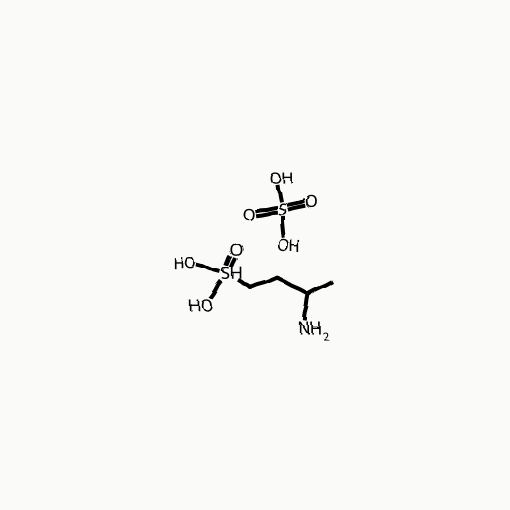 CC(N)CC[SH](=O)(O)O.O=S(=O)(O)O